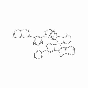 c1ccc(-c2cc(-c3ccc4ccccc4c3)nc(-c3ccccc3-c3ccc4c(c3)-c3oc5ccccc5c3C43c4ccccc4-c4ccccc43)n2)cc1